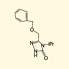 CC(C)n1c(COCc2ccccc2)n[nH]c1=O